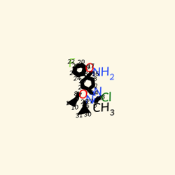 Cc1c(Cl)nc([C@]2(OCC3CC3)CC[C@](C(N)=O)(c3ccc(F)cc3)CC2)n1CC1CC1